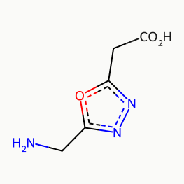 NCc1nnc(CC(=O)O)o1